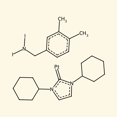 Cc1ccc(CN(I)I)cc1C.[Pt]=[c]1n(C2CCCCC2)ccn1C1CCCCC1